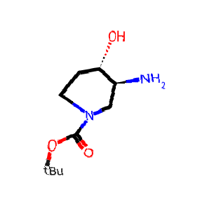 CC(C)(C)OC(=O)N1CC[C@H](O)[C@@H](N)C1